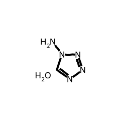 Nn1cnnn1.O